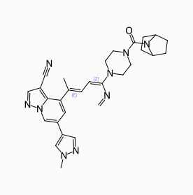 C=N/C(=C\C=C(/C)c1cc(-c2cnn(C)c2)cn2ncc(C#N)c12)N1CCN(C(=O)N2C3CCC2CC3)CC1